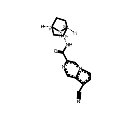 N#Cc1ccn2cc(C(=O)N[C@@H]3C[C@H]4CC[C@@H]3N4)ncc12